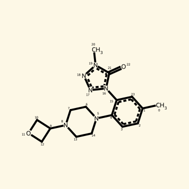 Cc1ccc(N2CCN(C3COC3)CC2)c(-n2nnn(C)c2=O)c1